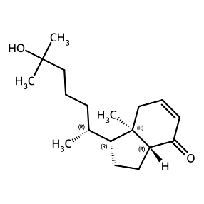 C[C@H](CCCC(C)(C)O)[C@H]1CC[C@H]2C(=O)C=CC[C@]12C